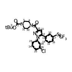 CC(C)(C)OC(=O)N1CCN(C(=O)c2cc(-c3cccc(SC(F)(F)F)c3)n(-c3cccc(Cl)c3)n2)CC1